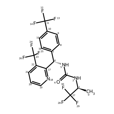 C[C@H](NC(=O)N[C@@H](c1ccc(C(F)(F)F)cc1)c1ncccc1C(F)(F)F)C(F)(F)F